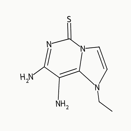 CCn1ccn2c(=S)nc(N)c(N)c12